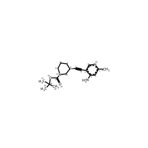 Cc1cc(N)c(C#C[C@@H]2CCCN(C(=O)OC(C)(C)C)C2)cn1